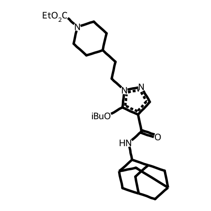 CCOC(=O)N1CCC(CCn2ncc(C(=O)NC3C4CC5CC(C4)CC3C5)c2OCC(C)C)CC1